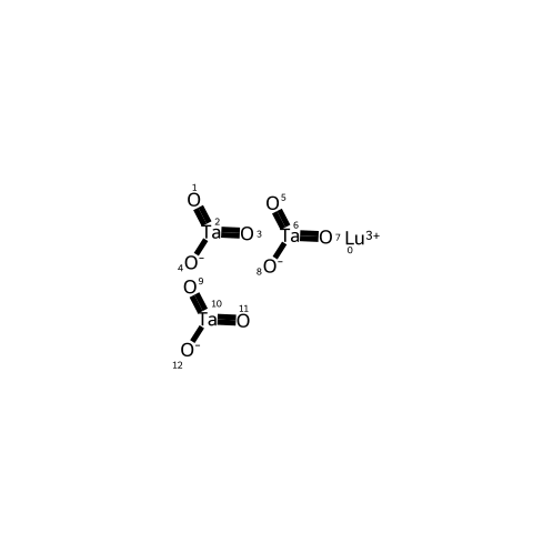 [Lu+3].[O]=[Ta](=[O])[O-].[O]=[Ta](=[O])[O-].[O]=[Ta](=[O])[O-]